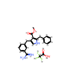 COC(=O)c1c(Cc2cccc(C(=N)N)c2)c[nH]c1Cc1ccccc1.O=C(O)C(F)(F)F